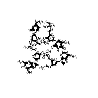 CCOC1C[C@H](n2cnc3c(N)ncnc32)O[C@@H]1COP(=O)(O)OC1C[C@H](n2cnc3c2N=C(N)NC3O)O[C@@H]1COP(=O)(O)OC1C[C@H](n2ccc(N)nc2=O)O[C@@H]1COP(=O)(O)OC1C[C@H](n2cc(C)c(=O)[nH]c2=O)O[C@@H]1COP(=O)(O)OC